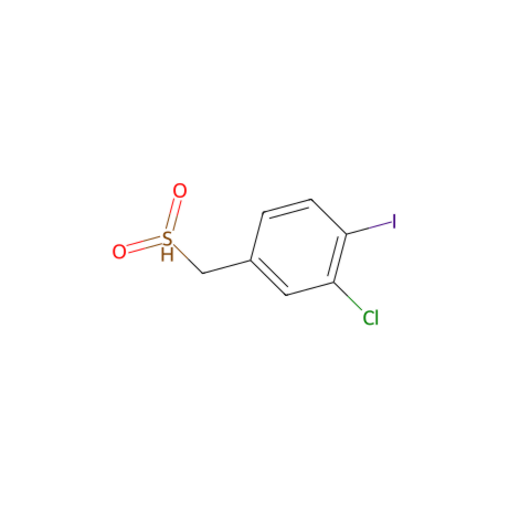 O=[SH](=O)Cc1ccc(I)c(Cl)c1